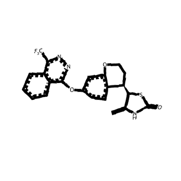 C=C1NC(=O)SC1[C@@H]1CCOc2cc(Oc3nnc(C(F)(F)F)c4ccccc34)ccc21